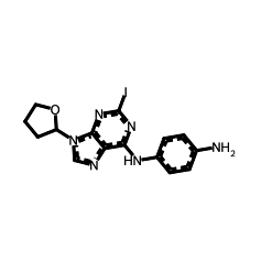 Nc1ccc(Nc2nc(I)nc3c2ncn3C2CCCO2)cc1